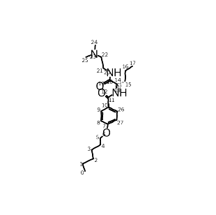 CCCCCCOc1ccc(C(=O)N[C@@H](CCC)C(=O)NCCN(C)C)cc1